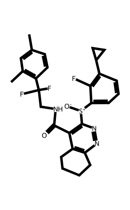 Cc1ccc(C(F)(F)CNC(=O)c2c([S+]([O-])c3cccc(C4CC4)c3F)nnc3c2CCCC3)c(C)c1